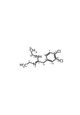 CC/N=C(/Cc1ccc(Cl)c(Cl)c1)NCC